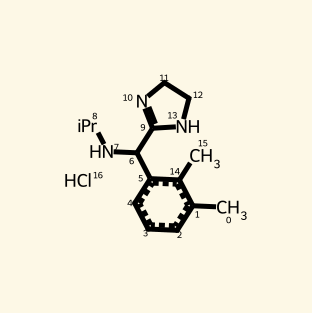 Cc1cccc(C(NC(C)C)C2=NCCN2)c1C.Cl